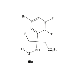 CCOC(=O)CC(CF)(N[S+]([O-])C(C)(C)C)c1cc(Br)cc(F)c1F